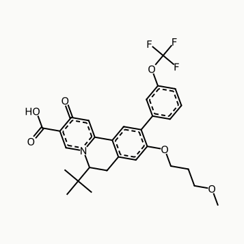 COCCCOc1cc2c(cc1-c1cccc(OC(F)(F)F)c1)-c1cc(=O)c(C(=O)O)cn1C(C(C)(C)C)C2